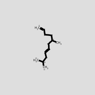 C=CCCC(C)CC=CCC(C)C